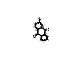 O=C1c2ccccc2C(=O)c2c[c]([Na])ccc21